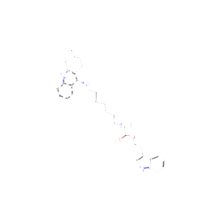 O=C(NCCCCCCCNc1c2c(nc3ccccc13)CC(Cl)CC2)OCCC1=CN=C2CC=CC=C12